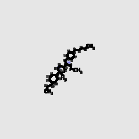 CC/C=C(/Cc1ccc(CCCCC)cc1)C(F)/C=C\C(C)C1=CC=C(CCC)CC=C1